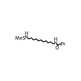 CSNCCCCCCCCCCCNC(=O)C(C)C